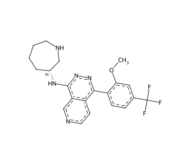 COc1cc(C(F)(F)F)ccc1-c1nnc(N[C@@H]2CCCCNC2)c2cnccc12